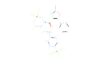 Cc1nc(C(=O)N2CC(F)(F)CC(C)[C@H]2CNc2cnc(C(F)(F)F)cn2)c(-c2ccccc2)o1